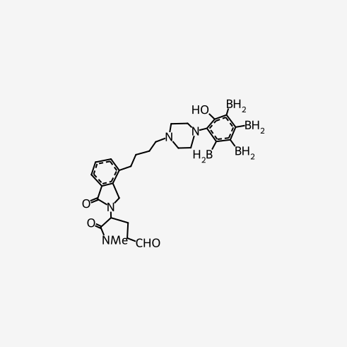 Bc1c(B)c(B)c(N2CCN(CCCCc3cccc4c3CN(C(CCC=O)C(=O)NC)C4=O)CC2)c(O)c1B